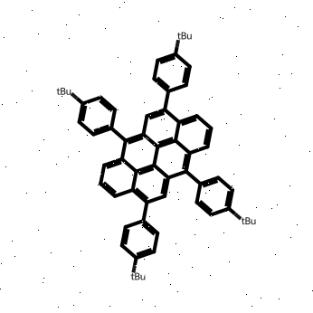 CC(C)(C)c1ccc(-c2cc3c(-c4ccc(C(C)(C)C)cc4)c4cccc5c(-c6ccc(C(C)(C)C)cc6)cc6c(-c7ccc(C(C)(C)C)cc7)c7cccc2c7c3c6c54)cc1